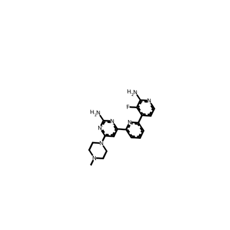 CN1CCN(c2cc(-c3cccc(-c4ccnc(N)c4F)n3)nc(N)n2)CC1